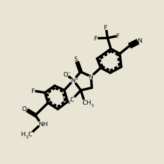 CNC(=O)c1ccc([N+]2([O-])C(=S)N(c3ccc(C#N)c(C(F)(F)F)c3)CC2(C)C)cc1F